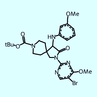 COc1cccc(NC2C(=O)N(c3ncc(Br)c(OC)n3)CC23CCN(C(=O)OC(C)(C)C)CC3)c1